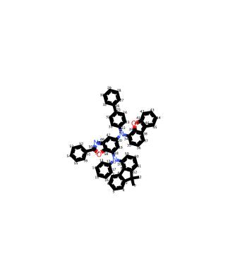 CC1(C)c2ccccc2-c2c(N(c3ccccc3)c3cc(N(c4ccc(-c5ccccc5)cc4)c4cccc5c4oc4ccccc45)cc4nc(-c5ccccc5)oc34)cccc21